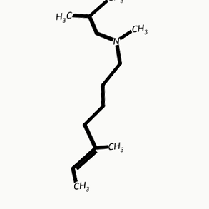 C/C=C(\C)CCCCN(C)CC(C)C